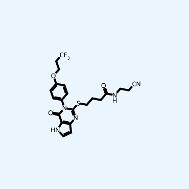 N#CCCNC(=O)CCCSc1nc2cc[nH]c2c(=O)n1-c1ccc(OCCC(F)(F)F)cc1